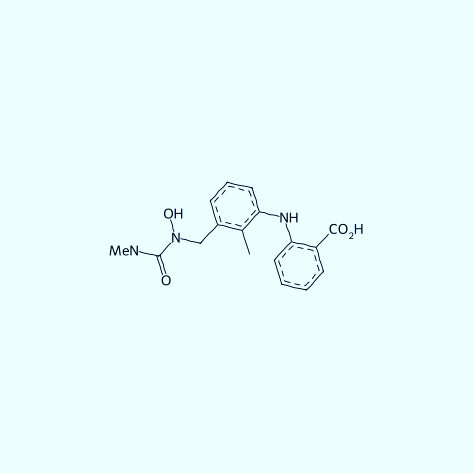 CNC(=O)N(O)Cc1cccc(Nc2ccccc2C(=O)O)c1C